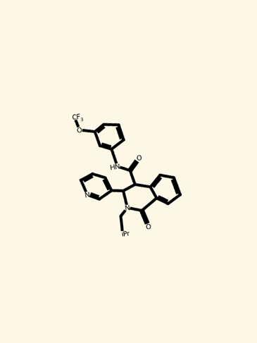 CC(C)CN1C(=O)c2ccccc2C(C(=O)Nc2cccc(OC(F)(F)F)c2)C1c1cccnc1